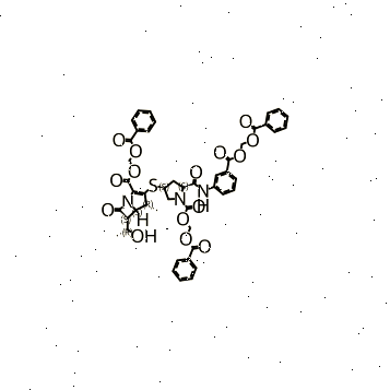 C[C@@H](O)[C@H]1C(=O)N2C(C(=O)OCOC(=O)c3ccccc3)=C(S[C@H]3C[C@@H](C(=O)Nc4cccc(C(=O)OCOC(=O)c5ccccc5)c4)N(C(=O)OCOC(=O)c4ccccc4)C3)[C@H](C)[C@H]12